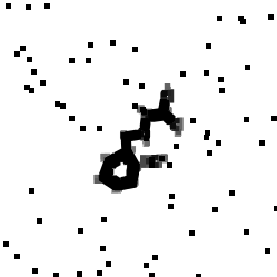 Cl.ClC(Cl)=NOCc1ccccc1